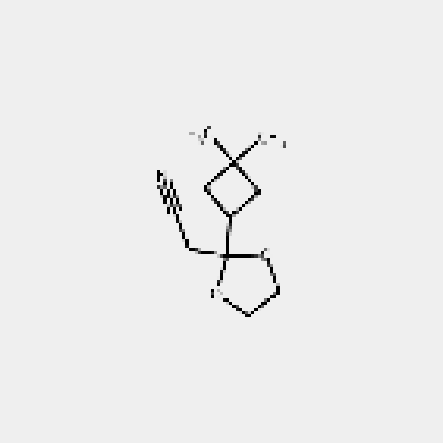 CC1(C)CC(C2(CC#N)OCCO2)C1